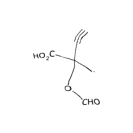 C#CC([CH2])(OC=O)C(=O)O